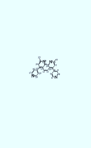 Cc1cc(-c2ccncc2)c2ccc3c(-c4ccncc4)cc(C)nc3c2n1